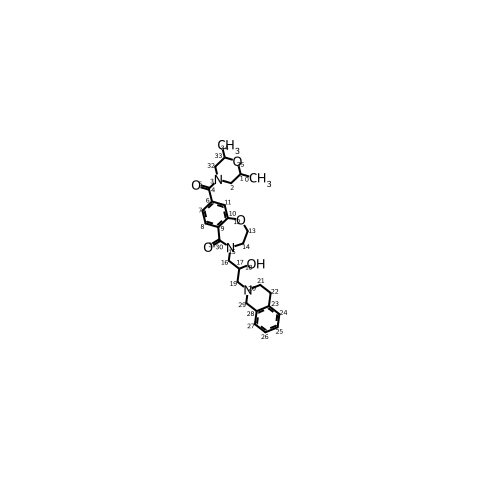 CC1CN(C(=O)c2ccc3c(c2)OCCN(CC(O)CN2CCc4ccccc4C2)C3=O)CC(C)O1